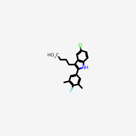 Cc1cc(-c2[nH]c3ccc(Cl)cc3c2CCCC(=O)O)cc(C)c1F